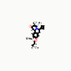 CCOC(=O)C1=CN2C(C3=CC=C3)Cc3cc(OCCCOC)c(OC)cc3C2CC1=O